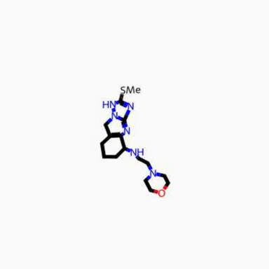 CSC1=NC2=NC3=C(CCCC3NCCN3CCOCC3)CN2N1